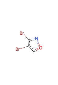 Brc1[c]onc1Br